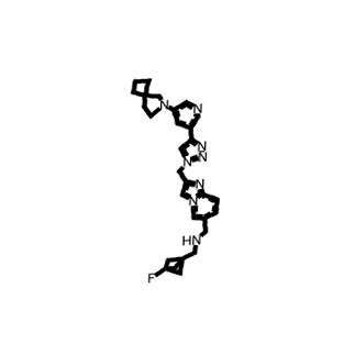 FC12CC(CNCc3ccc4nc(Cn5cc(-c6cncc(N7CCC8(CCC8)C7)c6)nn5)cn4c3)(C1)C2